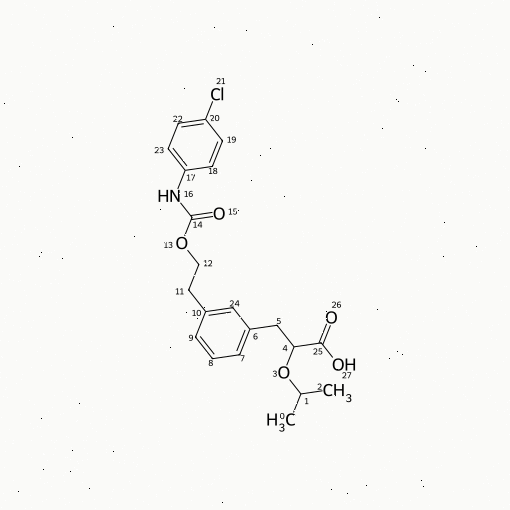 CC(C)OC(Cc1cccc(CCOC(=O)Nc2ccc(Cl)cc2)c1)C(=O)O